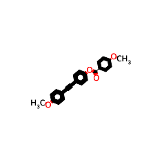 COc1ccc(C#Cc2ccc(OC(=O)[C@H]3CC[C@H](OC)CC3)cc2)cc1